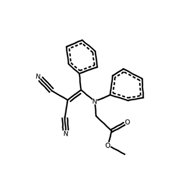 COC(=O)CN(C(=C(C#N)C#N)c1ccccc1)c1ccccc1